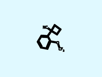 N#CC1(c2ccccc2OC(F)(F)F)CCC1